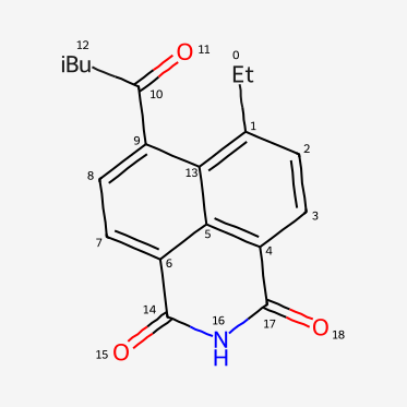 CCc1ccc2c3c(ccc(C(=O)C(C)CC)c13)C(=O)NC2=O